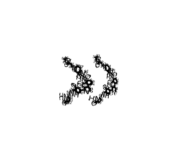 COc1cc(-c2nccc(-c3cccc(NC(=O)c4nc5c(n4C)CCN(CCC(=O)OC(C)(C)C)C5)c3Cl)c2Cl)ccc1CNC[C@@H]1CCC(=O)N1.COc1cc(-c2nccc(-c3cccc(NC(=O)c4nc5c(n4C)CCN(CCC(=O)OC(C)(C)C)C5)c3Cl)c2Cl)ccc1CNC[C@@H]1CCC(=O)N1